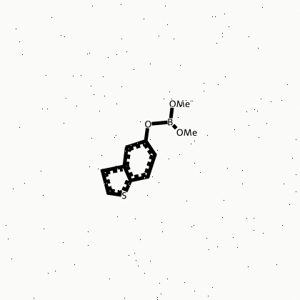 COB(OC)Oc1ccc2sccc2c1